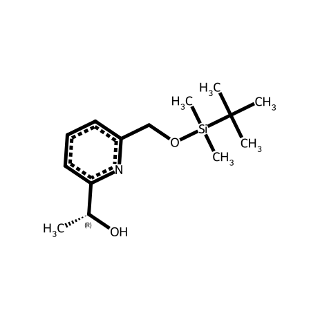 C[C@@H](O)c1cccc(CO[Si](C)(C)C(C)(C)C)n1